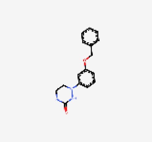 O=C1NCCN(c2cccc(OCc3ccccc3)c2)N1